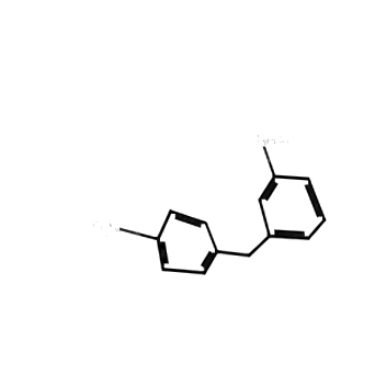 CC(=O)Nc1cccc(Cc2ccc([N+](=O)[O-])cc2)c1